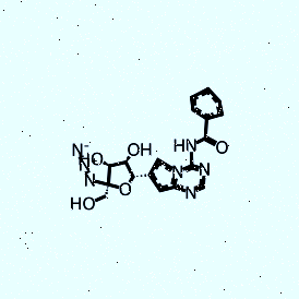 [N-]=[N+]=N[C@]1(CO)O[C@@H](c2cc3ncnc(NC(=O)c4ccccc4)n3c2)[C@H](O)[C@@H]1O